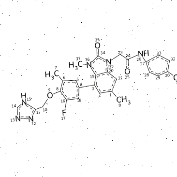 Cc1cc(-c2cc(C)c(OCc3nnc[nH]3)c(F)c2)c2c(c1)n(CC(=O)Nc1ccc(Cl)cc1)c(=O)n2C